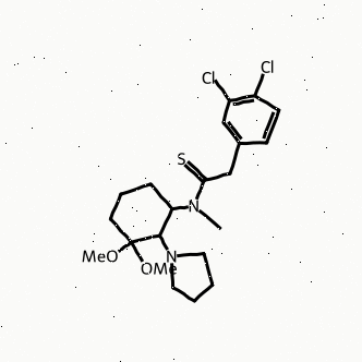 COC1(OC)CCCC(N(C)C(=S)Cc2ccc(Cl)c(Cl)c2)C1N1CCCC1